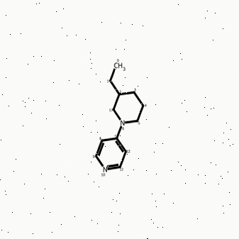 CCC1CCCN(c2ccncc2)C1